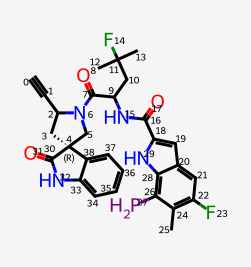 C#CC1C[C@@]2(CN1C(=O)C(CC(C)(C)F)NC(=O)c1cc3cc(F)c(C)c(P)c3[nH]1)C(=O)Nc1ccccc12